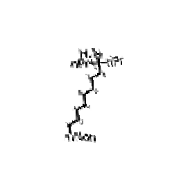 CCCCCCCCCCCCCCCCCC(N)(CCC)CCC